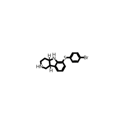 Brc1ccc(Sc2cccc3c2N[C@H]2CCNC[C@@H]32)cc1